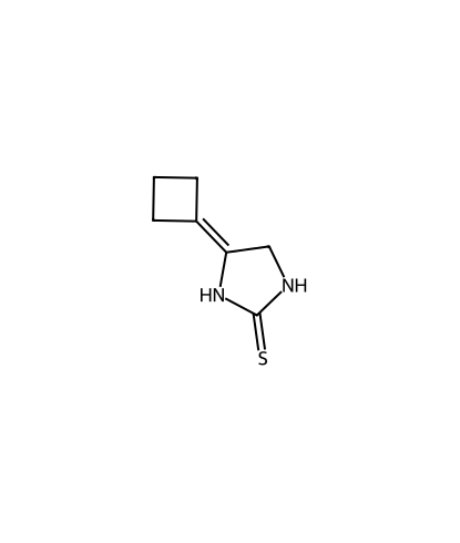 S=C1NCC(=C2CCC2)N1